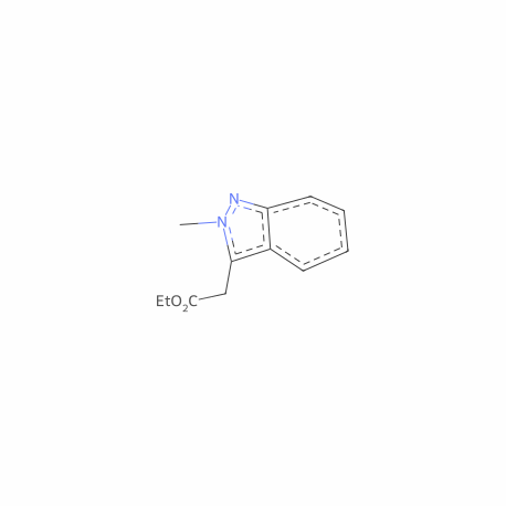 CCOC(=O)Cc1c2ccccc2nn1C